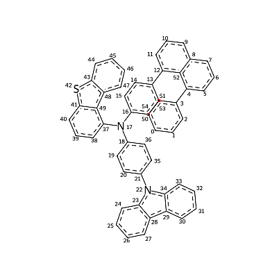 c1ccc(-c2cccc3cccc(-c4ccc(N(c5ccc(-n6c7ccccc7c7ccccc76)cc5)c5cccc6sc7ccccc7c56)cc4)c23)cc1